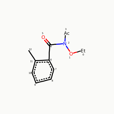 CCON(C(C)=O)C(=O)c1ccccc1C